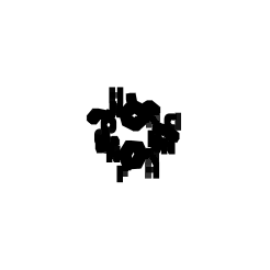 C=CC(=O)Nc1ccc2c(ccn2-c2nc(Nc3ccc(N=S(C)(C)=O)c(F)c3)ncc2Cl)c1C